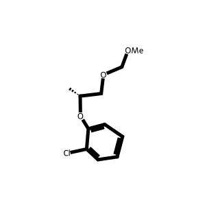 COCOC[C@@H](C)Oc1ccccc1Cl